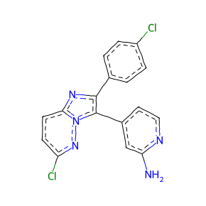 Nc1cc(-c2c(-c3ccc(Cl)cc3)nc3ccc(Cl)nn23)ccn1